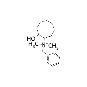 C[N+](C)(Cc1ccccc1)C1CCCCCCC1O